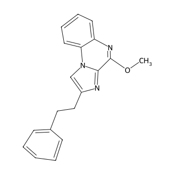 COc1nc2ccccc2n2cc(CCc3ccccc3)nc12